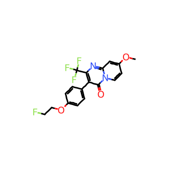 COc1ccn2c(=O)c(-c3ccc(OCCF)cc3)c(C(F)(F)F)nc2c1